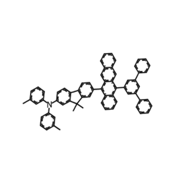 Cc1cccc(N(c2cccc(C)c2)c2ccc3c(c2)C(C)(C)c2cc(-c4c5ccccc5c(-c5cc(-c6ccccc6)cc(-c6ccccc6)c5)c5cc6ccccc6cc45)ccc2-3)c1